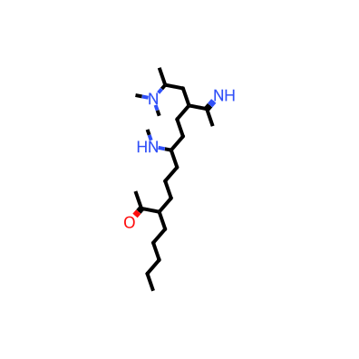 CCCCCC(CCCC(CCC(CC(C)N(C)C)C(C)=N)NC)C(C)=O